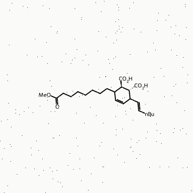 CCCC/C=C/C1C=CC(CCCCCCCC(=O)OC)[C@@H](C(=O)O)[C@@H]1C(=O)O